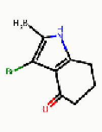 Bc1[nH]c2c(c1Br)C(=O)CCC2